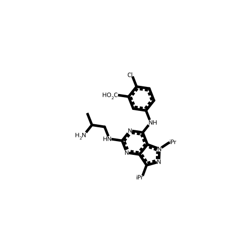 CC(N)CNc1nc(Nc2ccc(Cl)c(C(=O)O)c2)c2c(n1)c(C(C)C)nn2C(C)C